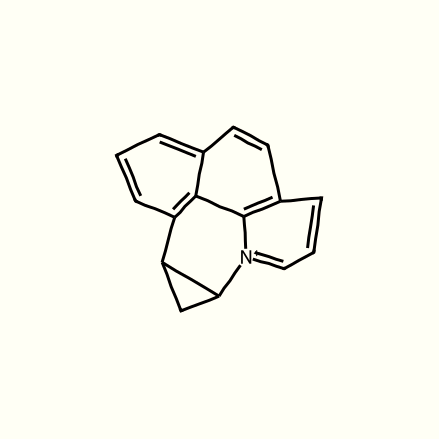 c1cc2c3c(c1)ccc1ccc[n+](c13)C1CC21